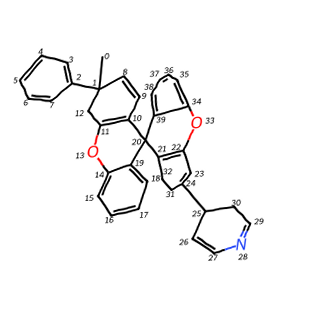 CC1(c2ccccc2)C=CC2=C(C1)Oc1ccccc1C21C2=C(C=C(C3C=CN=CC3)CC2)Oc2ccccc21